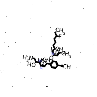 C#Cc1ccc(C(=C)/C=C\C(=C/C)C(O)CN)c(O/C(C=C(C)C)=C/C(=C)CCCC(F)CC)c1